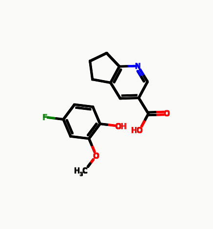 COc1cc(F)ccc1O.O=C(O)c1cnc2c(c1)CCC2